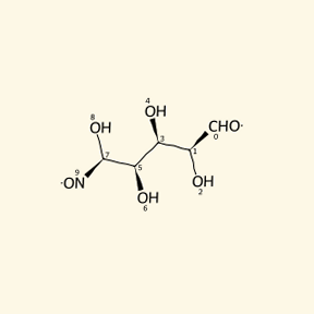 O=[C][C@@H](O)[C@H](O)[C@@H](O)[C@H](O)[N+]=O